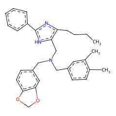 CCCCc1nc(-c2ccccc2)[nH]c1CN(Cc1ccc(C)c(C)c1)Cc1ccc2c(c1)OCO2